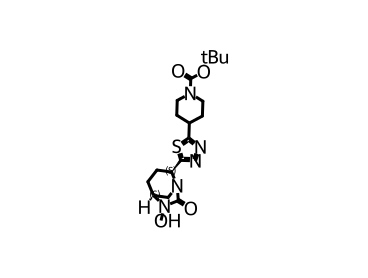 CC(C)(C)OC(=O)N1CCC(c2nnc([C@@H]3CC[C@H]4CN3C(=O)N4O)s2)CC1